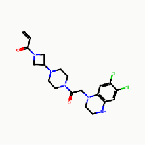 C=CC(=O)N1CC(N2CCN(C(=O)CN3CCNc4cc(Cl)c(Cl)cc43)CC2)C1